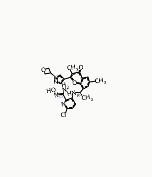 Cc1cc([C@@H](C)Nc2ccc(Cl)nc2/C(N)=N/O)c2oc(-c3cnn(C4COC4)c3)c(C)c(=O)c2c1